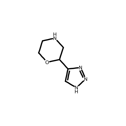 c1[nH]nnc1C1CNCCO1